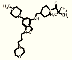 CN1CCN(c2cc(NCC3CCN(C(=O)C(C)(C)C)CC3)c3cnn(CCCN4CCOCC4)c3c2)CC1